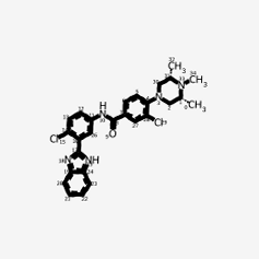 C[C@@H]1CN(c2ccc(C(=O)Nc3ccc(Cl)c(-c4nc5ccccc5[nH]4)c3)cc2Cl)C[C@H](C)N1C